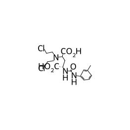 Cc1cccc(NC(=O)N[C@@H](CC(C(=O)O)N(CCCl)CCCl)C(=O)O)c1